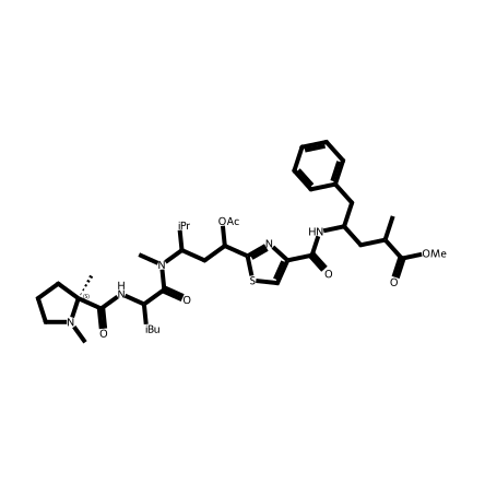 CCC(C)C(NC(=O)[C@]1(C)CCCN1C)C(=O)N(C)C(CC(OC(C)=O)c1nc(C(=O)NC(Cc2ccccc2)CC(C)C(=O)OC)cs1)C(C)C